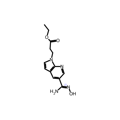 CCOC(=O)CCn1ccc2cc(/C(N)=N/O)cnc21